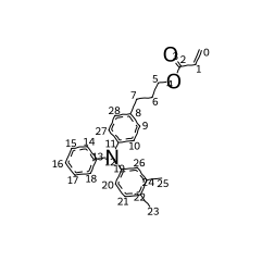 C=CC(=O)OCCCc1ccc(N(c2ccccc2)c2ccc(C)c(C)c2)cc1